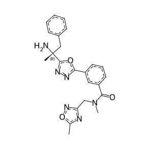 Cc1nc(CN(C)C(=O)c2cccc(-c3nnc([C@](C)(N)Cc4ccccc4)o3)c2)no1